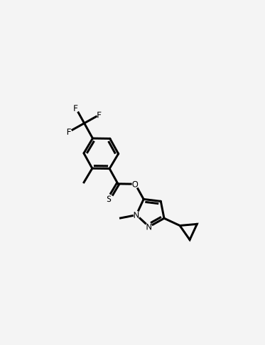 Cc1cc(C(F)(F)F)ccc1C(=S)Oc1cc(C2CC2)nn1C